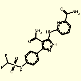 NC(=O)c1cccc(Nc2[nH]nc(-c3ccc(NS(=O)(=O)C(F)F)cc3)c2C(N)=O)n1